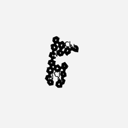 Clc1cc(-c2ccccc2-c2ccc(-c3ccccn3)cc2)cc(-c2ccccc2-c2ccc(-c3ccc(-c4ccc(-c5ccc(-c6ccc7ccccc7n6)cc5)c(-c5cc(Cl)cc(-c6ccccc6-c6ccc(-c7ccc8ccccc8n7)cc6)c5)c4)cn3)cc2)c1